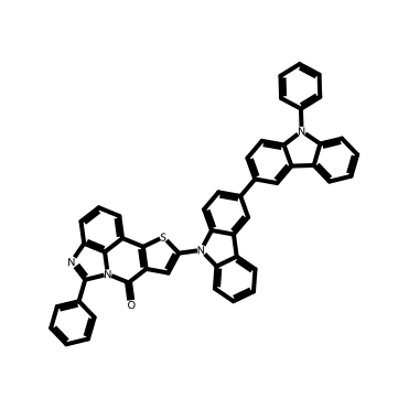 O=c1c2cc(-n3c4ccccc4c4cc(-c5ccc6c(c5)c5ccccc5n6-c5ccccc5)ccc43)sc2c2cccc3nc(-c4ccccc4)n1c32